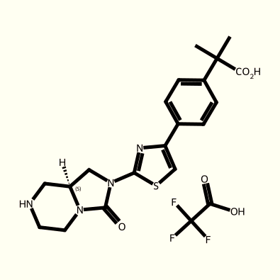 CC(C)(C(=O)O)c1ccc(-c2csc(N3C[C@@H]4CNCCN4C3=O)n2)cc1.O=C(O)C(F)(F)F